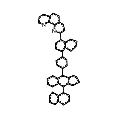 c1ccc2c(-c3c4ccccc4c(-c4ccc(-c5ccc(-c6ccc7ccc8cccnc8c7n6)c6ccccc56)cc4)c4ccccc34)cccc2c1